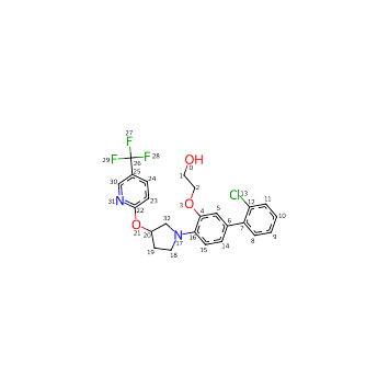 OCCOc1cc(-c2ccccc2Cl)ccc1N1CCC(Oc2ccc(C(F)(F)F)cn2)C1